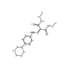 CCOC(=O)C(=CNc1ccc(C2CCCCC2)cc1)C(=O)OCC